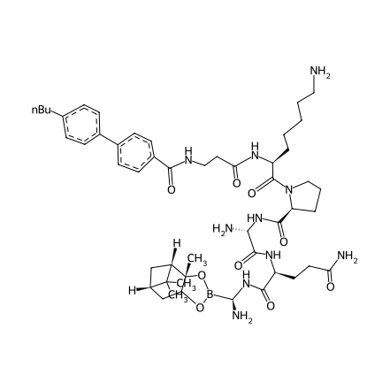 CCCCc1ccc(-c2ccc(C(=O)NCCC(=O)N[C@@H](CCCCCN)C(=O)N3CCC[C@H]3C(=O)N[C@@H](N)C(=O)N[C@@H](CCC(N)=O)C(=O)N[C@@H](N)B3OC4C[C@@H]5C[C@@H](C5(C)C)[C@]4(C)O3)cc2)cc1